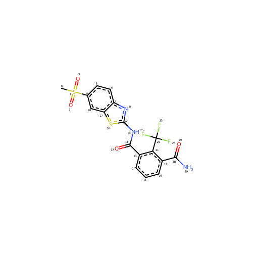 CS(=O)(=O)c1ccc2nc(NC(=O)c3cccc(C(N)=O)c3C(F)(F)F)sc2c1